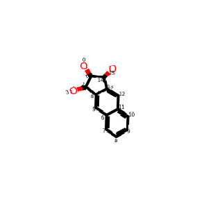 O=c1c(=O)c2cc3ccccc3cc2c1=O